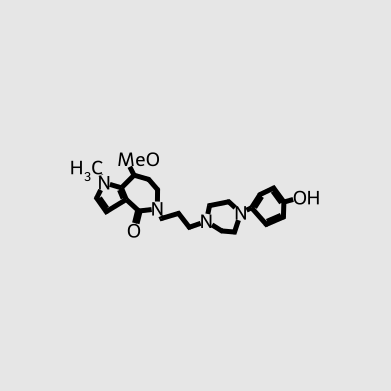 COC1CCN(CCCN2CCN(c3ccc(O)cc3)CC2)C(=O)c2ccn(C)c21